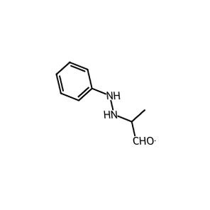 CC([C]=O)NNc1ccccc1